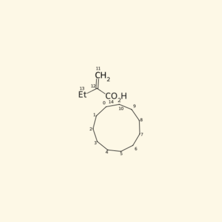 C1CCCCCCCCCC1.C=C(CC)C(=O)O